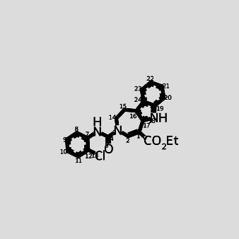 CCOC(=O)C1=CN(C(=O)Nc2ccccc2Cl)CCc2c1[nH]c1ccccc21